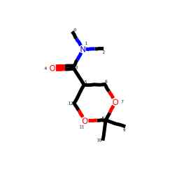 CN(C)C(=O)C1COC(C)(C)OC1